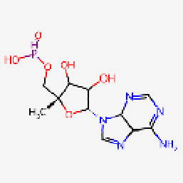 C[C@]1(CO[PH](=O)O)O[C@@H](N2C=NC3C(N)=NC=NC32)C(O)C1O